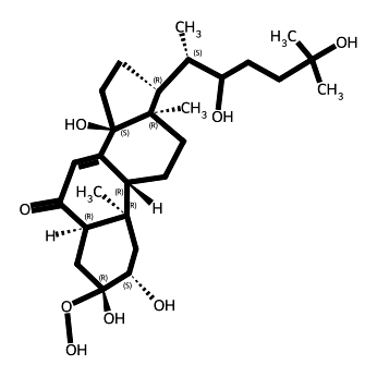 C[C@H](C(O)CCC(C)(C)O)[C@H]1CC[C@@]2(O)C3=CC(=O)[C@@H]4C[C@@](O)(OO)[C@@H](O)C[C@]4(C)[C@H]3CC[C@]12C